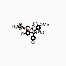 CCOc1cc(OC)c(C#N)cc1C1=N[C@@H](c2ccc(Cl)cc2)[C@@H](c2ccc(Cl)cc2)N1C(=O)N1CCN(CCS(C)(=O)=O)CC1